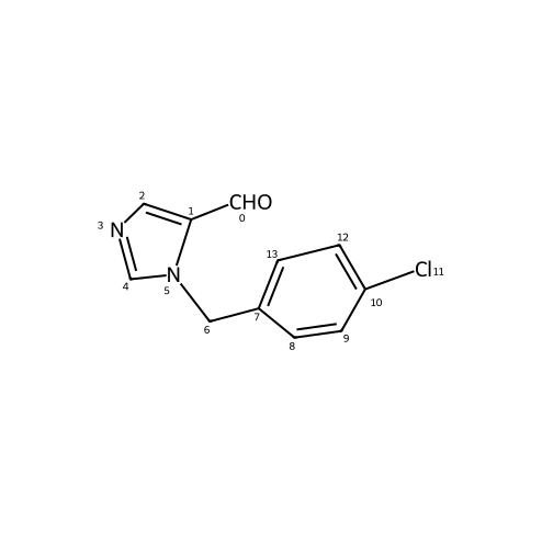 O=Cc1cncn1Cc1ccc(Cl)cc1